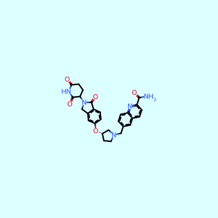 NC(=O)c1ccc2cc(CN3CC[C@H](Oc4ccc5c(c4)CN(C4CCC(=O)NC4=O)C5=O)C3)ccc2n1